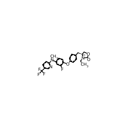 CCN1C(=O)OC[C@@H]1Cc1ccc(Oc2ccc(N(C)c3ccc(C(F)(F)F)cn3)cc2F)cc1